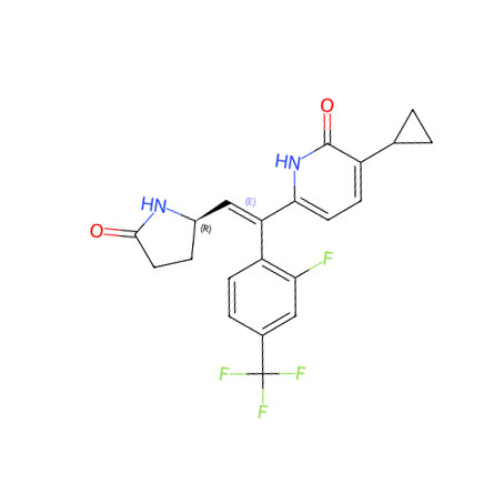 O=C1CC[C@H](/C=C(/c2ccc(C3CC3)c(=O)[nH]2)c2ccc(C(F)(F)F)cc2F)N1